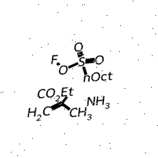 C=C(C)C(=O)OCC.CCCCCCCCS(=O)(=O)OF.N